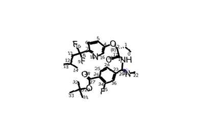 CC[C@@H](Oc1ccc(C(F)(F)CC(C)C)nc1)C(=O)N/C(=N\C)c1ccc(C(=O)OC(C)(C)C)c(F)c1